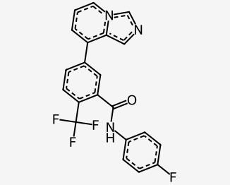 O=C(Nc1ccc(F)cc1)c1cc(-c2cccn3cncc23)ccc1C(F)(F)F